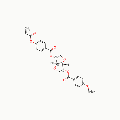 C=CC(=O)Oc1ccc(C(=O)O[C@@H]2CO[C@H]3[C@@H]2OC[C@H]3OC(=O)c2ccc(OCCCCCC)cc2)cc1